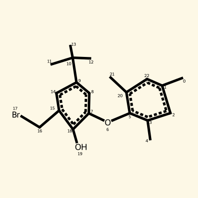 Cc1cc(C)c(Oc2cc(C(C)(C)C)cc(CBr)c2O)c(C)c1